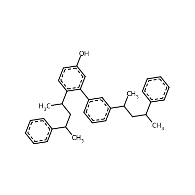 CC(CC(C)c1cccc(-c2cc(O)ccc2C(C)CC(C)c2ccccc2)c1)c1ccccc1